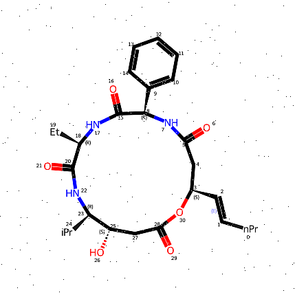 CCC/C=C/[C@@H]1CC(=O)N[C@H](c2ccccc2)C(=O)N[C@H](CC)C(=O)N[C@H](C(C)C)[C@@H](O)CC(=O)O1